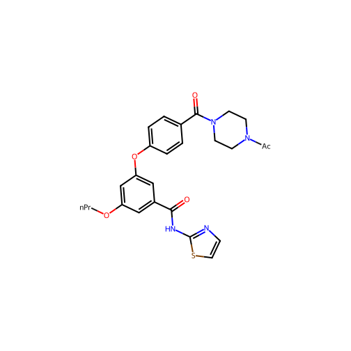 CCCOc1cc(Oc2ccc(C(=O)N3CCN(C(C)=O)CC3)cc2)cc(C(=O)Nc2nccs2)c1